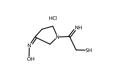 Cl.N=C(CS)N1CC/C(=N/O)C1